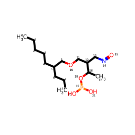 CCCCCC(CCC)COCC(CN=O)C(C)OP(O)O